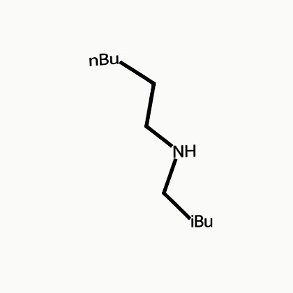 CCCCCCNCC(C)CC